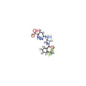 O=C(O)c1ccc(NC2CN(C(=O)c3ccccc3C(F)(F)F)C2)nn1